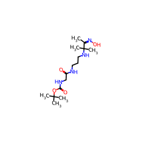 CC(=NO)C(C)(C)NCCCNC(=O)CNC(=O)OC(C)(C)C